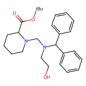 CC(C)(C)OC(=O)C1CCCCN1CN(CCO)C(c1ccccc1)c1ccccc1